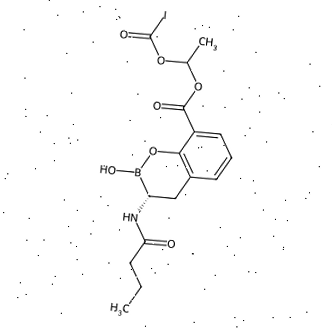 CCCC(=O)N[C@H]1Cc2cccc(C(=O)OC(C)OC(=O)I)c2OB1O